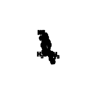 CCC(C)(CC(CC(C)C(=O)OC1CCCCC1)C(=O)OCCCCOc1ccc(C(=O)Oc2ccc(C#N)cc2)cc1)C(=O)Oc1ccc(OC(=O)/C=C/c2ccccc2)cc1